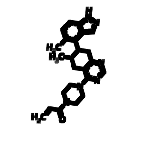 C=CC(=O)N1CCN(c2ncnc3c2CC(C)C(c2c(C)ccc4[nH]ncc24)C3)CC1